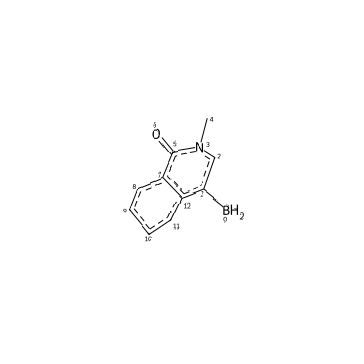 Bc1cn(C)c(=O)c2ccccc12